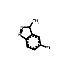 CCc1ccc2c(c1)C(C)N=N2